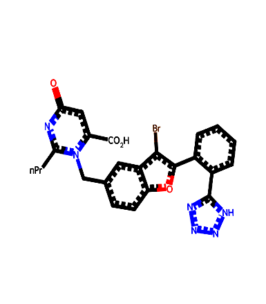 CCCc1nc(=O)cc(C(=O)O)n1Cc1ccc2oc(-c3ccccc3-c3nnn[nH]3)c(Br)c2c1